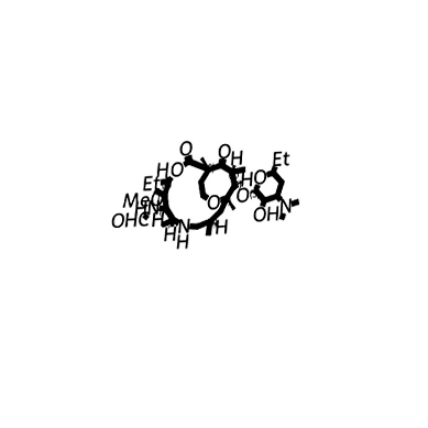 CCC1CC(N(C)C)C(O)[C@H](O[C@@H]2[C@@H](C)C(=O)[C@]3(C)CCO[C@@]2(C)C[C@@H](C)CN[C@H](C)[C@@H](NC=O)[C@](C)(OC)[C@@H](CC)OC3=O)O1